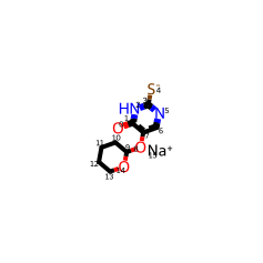 O=c1[nH]c([S-])ncc1OC1CCCCO1.[Na+]